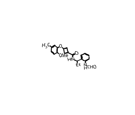 CCC(NC(=O)C1CC(Oc2cc(C)ccc2OC)C1)c1ccccc1NC=O